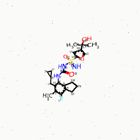 Cc1c(F)c2c(c(NC(=O)NS(=N)(=O)c3cc(C(C)(C)O)co3)c1CC1CC1)CCC2